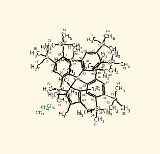 CC1=C(C)C(C)([Si](c2cc([Si](C)(C)C)c([Si](C)(C)C)cc2[Si](C)(C)C)(c2cc([Si](C)(C)C)c([Si](C)(C)C)cc2[Si](C)(C)C)c2cc([Si](C)(C)C)c([Si](C)(C)C)cc2[Si](C)(C)C)[C]([Ti+3])=C1C.[Cl-].[Cl-].[Cl-]